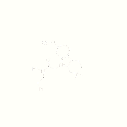 CCN(CCC(C)C)C(=O)Cn1c2c(c3ccc(OC)cc31)CCC(C)(C)C2